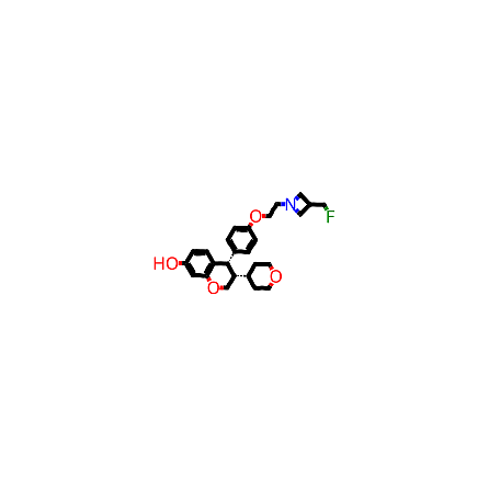 Oc1ccc2c(c1)OC[C@@H](C1CCOCC1)[C@H]2c1ccc(OCCN2CC(CF)C2)cc1